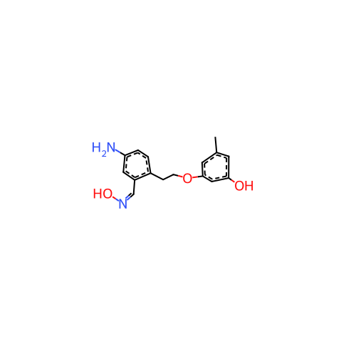 Cc1cc(O)cc(OCCc2ccc(N)cc2/C=N\O)c1